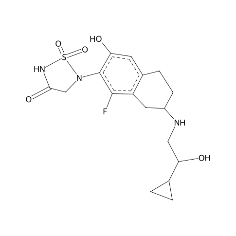 O=C1CN(c2c(O)cc3c(c2F)CC(NCC(O)C2CC2)CC3)S(=O)(=O)N1